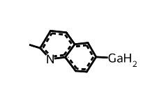 Cc1ccc2c[c]([GaH2])ccc2n1